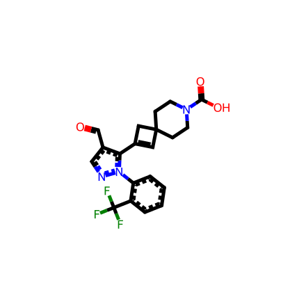 O=Cc1cnn(-c2ccccc2C(F)(F)F)c1C1=CC2(CCN(C(=O)O)CC2)C1